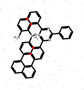 Nc1ccccc1N(N)c1ccc(-c2cccc3cccc(-c4ccc(-c5nc(-c6ccccc6)nc(-c6ccccc6)n5)cc4)c23)cc1